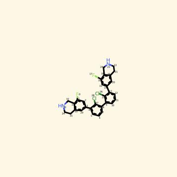 Fc1cc(-c2cccc(-c3cccc(-c4cc(F)c5c(c4)CCNC5)c3Cl)c2Cl)cc2c1CNCC2